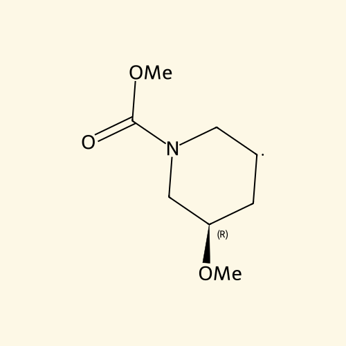 COC(=O)N1C[CH]C[C@@H](OC)C1